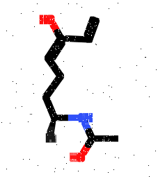 C=C/C(O)=C\CC[C@H](CC)NC(C)O